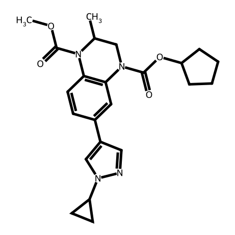 COC(=O)N1c2ccc(-c3cnn(C4CC4)c3)cc2N(C(=O)OC2CCCC2)CC1C